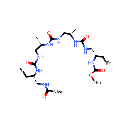 CNC(=O)NC[C@H](CC(C)C)NC(=O)NC[C@H](C)NC(=O)NC[C@H](C)NC(=O)NC[C@H](CC(C)C)NC(=O)OC(C)(C)C